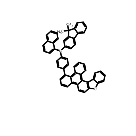 CC1(C)c2ccccc2-c2ccc(N(c3ccc(-c4cccc5c6ccc7oc8ccccc8c7c6c6ccccc6c45)cc3)c3cccc4ccccc34)cc21